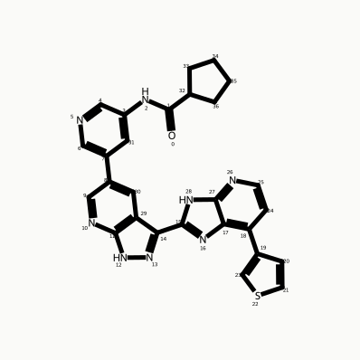 O=C(Nc1cncc(-c2cnc3[nH]nc(-c4nc5c(-c6ccsc6)ccnc5[nH]4)c3c2)c1)C1CCCC1